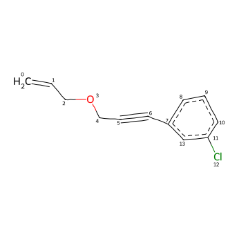 C=CCOCC#Cc1cccc(Cl)c1